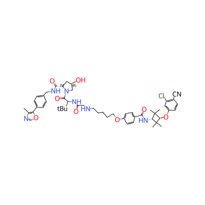 Cc1ncoc1-c1ccc(CNC(=O)[C@@H]2C[C@@H](O)CN2C(=O)C(NC(=O)CNCCCCCOc2ccc(C(=O)N[C@H]3C(C)(C)[C@H](Oc4ccc(C#N)c(Cl)c4)C3(C)C)cc2)C(C)(C)C)cc1